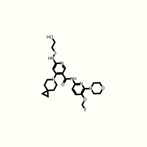 O=C(Nc1ccc(OCF)c(N2CCOCC2)n1)c1cnc(NSCCO)cc1N1CCC2(CC1)CC2